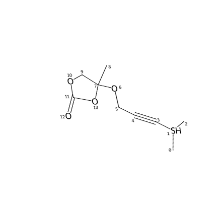 C[SH](C)C#CCOC1(C)COC(=O)O1